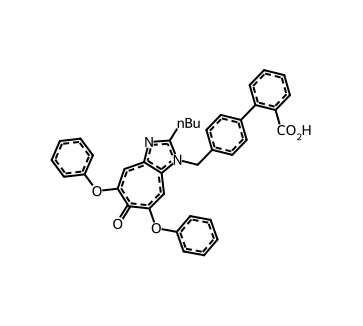 CCCCc1nc2cc(Oc3ccccc3)c(=O)c(Oc3ccccc3)cc2n1Cc1ccc(-c2ccccc2C(=O)O)cc1